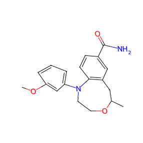 COc1cccc(N2CCOC(C)Cc3cc(C(N)=O)ccc32)c1